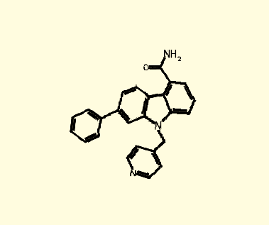 NC(=O)c1cccc2c1c1[c]cc(-c3ccccc3)cc1n2Cc1ccncc1